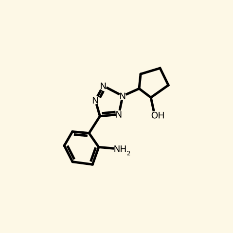 Nc1ccccc1-c1nnn(C2CCCC2O)n1